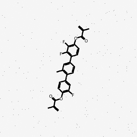 C=C(C)C(=O)Oc1ccc(-c2ccc(-c3ccc(OC(=O)C(=C)C)c(F)c3F)cc2C)cc1F